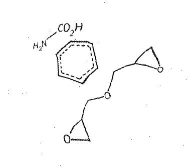 C(OCC1CO1)C1CO1.NC(=O)O.c1ccccc1